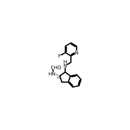 O=CN[C@H]1Cc2ccccc2C1NCc1ncccc1F